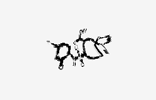 O=C(O)C1=CC2(CCC1S(=O)(=O)Nc1ccc(F)cc1Cl)OCCO2